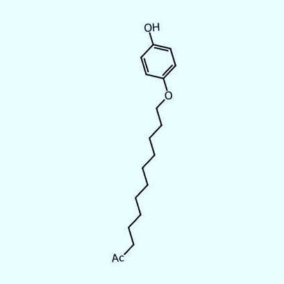 CC(=O)CCCCCCCCCCOc1ccc(O)cc1